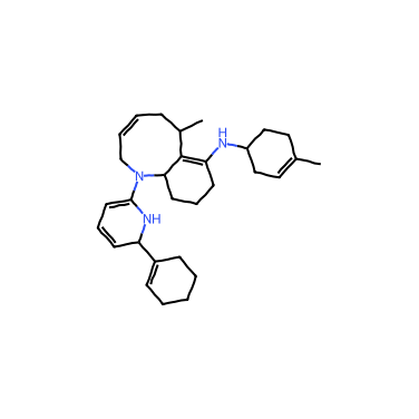 CC1=CCC(NC2=C3C(C)C/C=C\CN(C4=CC=CC(C5=CCCCC5)N4)C3CCC2)CC1